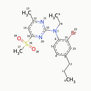 CCCc1ccc(N(CC)c2nc(C)cc(S(C)(=O)=O)n2)c(Br)c1